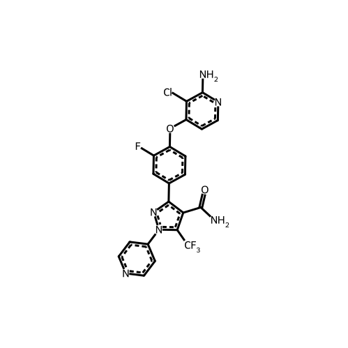 NC(=O)c1c(-c2ccc(Oc3ccnc(N)c3Cl)c(F)c2)nn(-c2ccncc2)c1C(F)(F)F